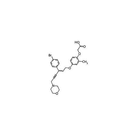 Cc1cc(OC/C=C(/C#CCN2CCOCC2)c2ccc(Br)cc2)ccc1OCC(=O)O